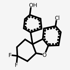 Oc1ccc(C23CCC(F)(F)CC2Oc2ccc(Cl)cc23)cc1